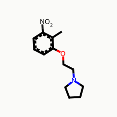 Cc1c(OCCN2CCCC2)cccc1[N+](=O)[O-]